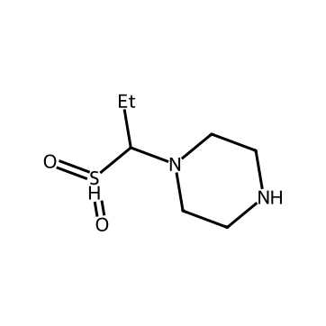 [CH2]CC(N1CCNCC1)[SH](=O)=O